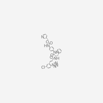 O=C(C=Cc1cc(Cl)ccc1-n1cnnn1)NC(Cc1ccccc1)C(=O)Nc1ccc(NC(=O)OCc2cccnc2)cc1